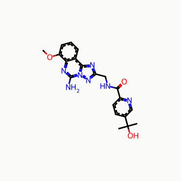 COc1cccc2c1nc(N)n1nc(CNC(=O)c3ccc(C(C)(C)O)cn3)nc21